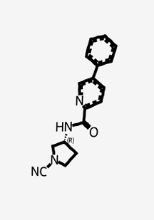 N#CN1CC[C@@H](NC(=O)c2ccc(-c3ccccc3)cn2)C1